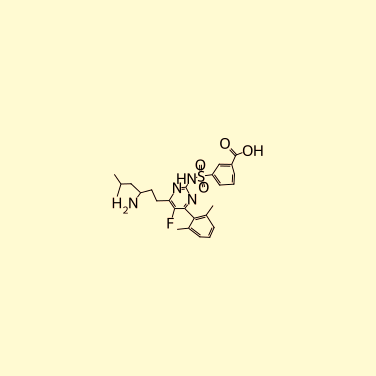 Cc1cccc(C)c1-c1nc(NS(=O)(=O)c2cccc(C(=O)O)c2)nc(CCC(N)CC(C)C)c1F